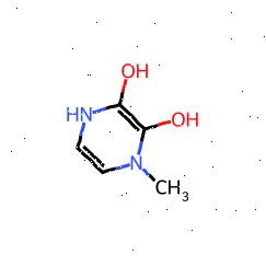 CN1C=CNC(O)=C1O